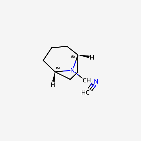 C#N.CN1[C@@H]2CCC[C@H]1CC2